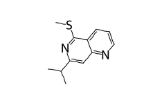 CSc1nc(C(C)C)cc2ncccc12